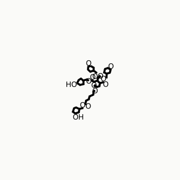 O=C(CCCCCOC(=O)CC(C(=O)OCC1CCC2OC2C1)C(CC(=O)OCC1CCC(O)CC1)C(=O)OCC1CCC2OC2C1)OCC1CCCC(O)C1